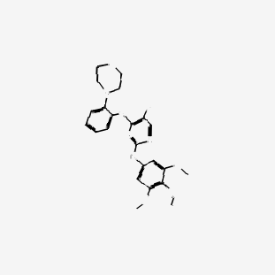 COc1cc(Nc2ncc(Br)c(Nc3ccccc3N3CCOCC3)n2)cc(OC)c1OC.Cl